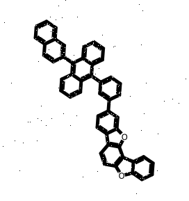 c1cc(-c2ccc3c(c2)oc2c3ccc3oc4ccccc4c32)cc(-c2c3ccccc3c(-c3ccc4ccccc4c3)c3ccccc23)c1